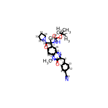 Cn1c(=O)c(Cc2ccc(C#N)cc2)nc2cc(C(C)(NC(=O)OC(C)(C)C)C(=O)N3CCCC3)ccc21